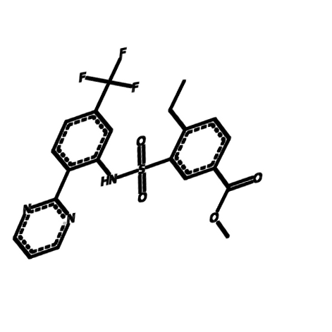 CCc1ccc(C(=O)OC)cc1S(=O)(=O)Nc1cc(C(F)(F)F)ccc1-c1ncccn1